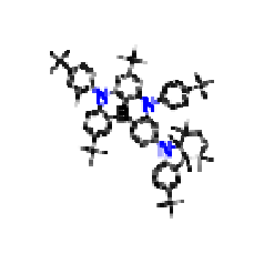 Cc1cc(C(C)(C)C)ccc1N1c2ccc(C(C)(C)C)cc2B2c3ccc(N4c5ccc(C(C)(C)C)cc5C5(C)C(C)(C)CCC(C)(C)C45C)cc3N(c3ccc(C(C)(C)C)cc3)c3cc(C(C)(C)C)cc1c32